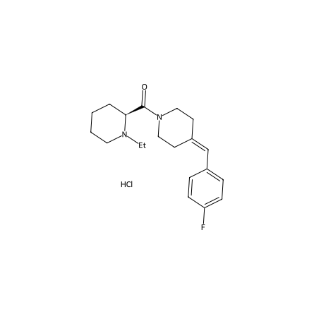 CCN1CCCC[C@H]1C(=O)N1CCC(=Cc2ccc(F)cc2)CC1.Cl